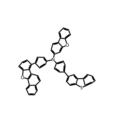 c1ccc2c(c1)ccc1c2oc2cccc(-c3ccc(N(c4ccc(-c5ccc6sc7ccccc7c6c5)cc4)c4ccc5c(c4)oc4ccccc45)cc3)c21